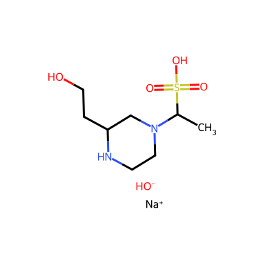 CC(N1CCNC(CCO)C1)S(=O)(=O)O.[Na+].[OH-]